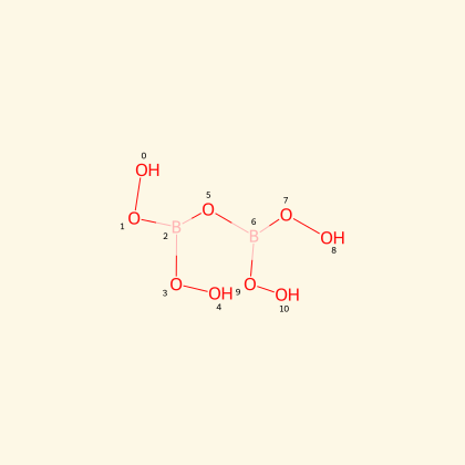 OOB(OO)OB(OO)OO